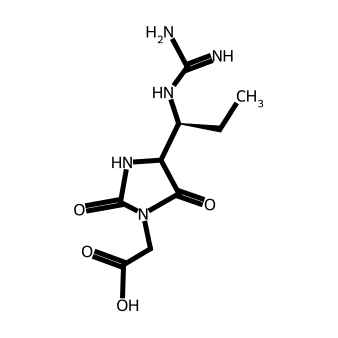 CC[C@H](NC(=N)N)C1NC(=O)N(CC(=O)O)C1=O